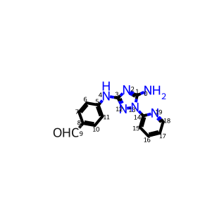 Nc1nc(Nc2ccc(C=O)cc2)nn1-c1ccccn1